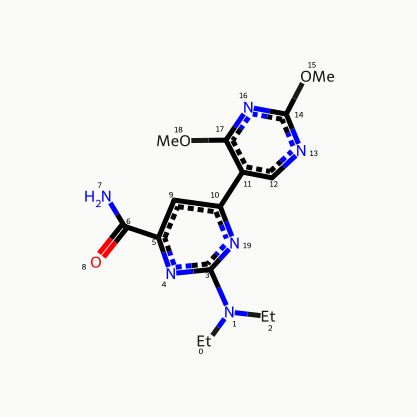 CCN(CC)c1nc(C(N)=O)cc(-c2cnc(OC)nc2OC)n1